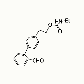 CCNC(=O)OCCc1ccc(-c2ccccc2C=O)cc1